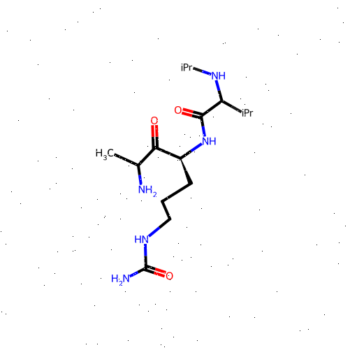 CC(C)NC(C(=O)N[C@@H](CCCNC(N)=O)C(=O)C(C)N)C(C)C